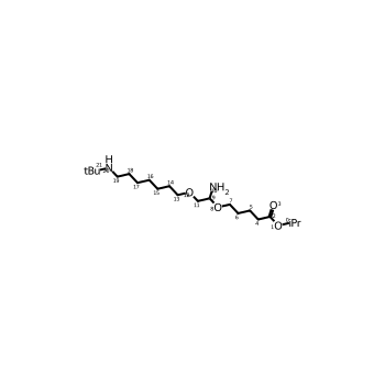 CC(C)OC(=O)CCCCOC(N)COCCCCCCCNC(C)(C)C